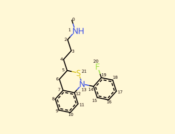 CNCCCC1Cc2ccccc2N(c2ccccc2F)S1